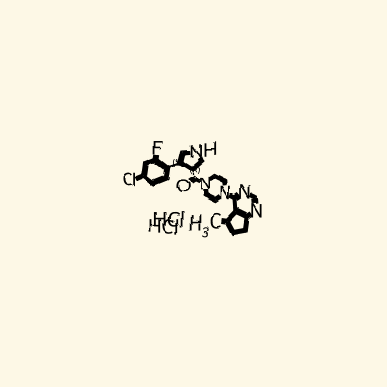 CC1CCc2ncnc(N3CCN(C(=O)[C@H]4CNC[C@@H]4c4ccc(Cl)cc4F)CC3)c21.Cl.Cl